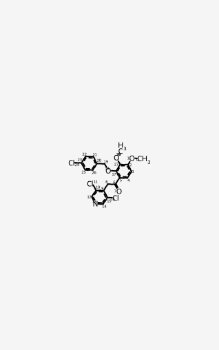 COc1ccc(C(=O)Cc2c(Cl)cncc2Cl)c(OCc2ccc(Cl)cc2)c1OC